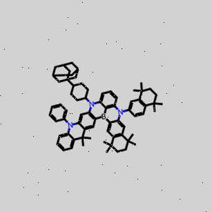 CC1(C)CCC(C)(C)c2cc(N3c4cc5c(cc4B4c6cc7c(cc6N(C6CCC(C89CC%10CC(CC(C%10)C8)C9)CC6)c6cccc3c64)N(c3ccccc3)c3ccccc3C7(C)C)C(C)(C)CCC5(C)C)ccc21